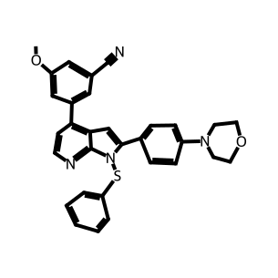 COc1cc(C#N)cc(-c2ccnc3c2cc(-c2ccc(N4CCOCC4)cc2)n3Sc2ccccc2)c1